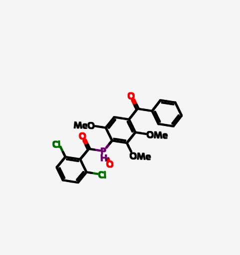 COc1cc(C(=O)c2ccccc2)c(OC)c(OC)c1[PH](=O)C(=O)c1c(Cl)cccc1Cl